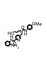 COc1ccc(NC(=O)N(CCCO)Cc2ccc(C(=O)Nc3ccccc3N)nc2)cc1